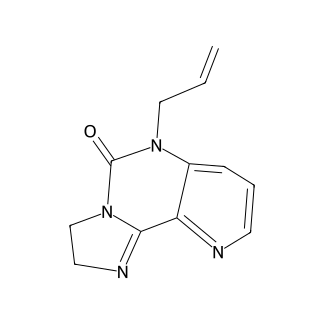 C=CCN1C(=O)N2CCN=C2c2ncccc21